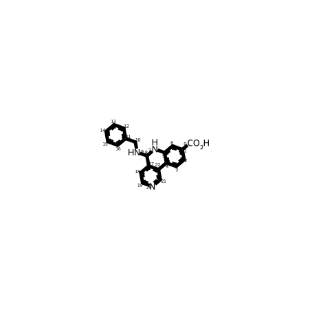 O=C(O)c1ccc2c(c1)NC(NCc1ccccc1)c1ccncc1-2